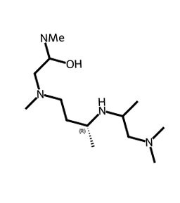 CNC(O)CN(C)CC[C@@H](C)NC(C)CN(C)C